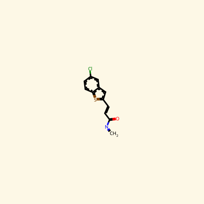 C=NC(=O)/C=C/c1cc2cc(Cl)ccc2s1